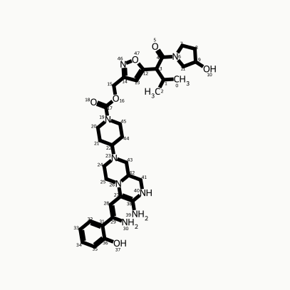 CC(C)C(C(=O)N1CCC(O)C1)c1cc(COC(=O)N2CCC(N3CCN4C(/C=C(\N)c5ccccc5O)=C(N)NCC4C3)CC2)no1